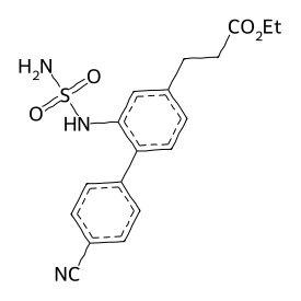 CCOC(=O)CCc1ccc(-c2ccc(C#N)cc2)c(NS(N)(=O)=O)c1